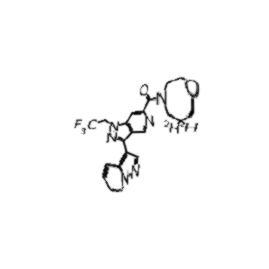 [2H]C1([2H])COCCN(C(=O)c2cc3c(cn2)c(-c2cnn4ccccc24)nn3CC(F)(F)F)C1